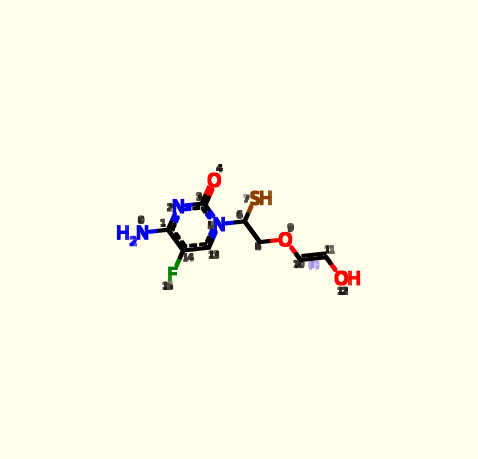 Nc1nc(=O)n(C(S)CO/C=C/O)cc1F